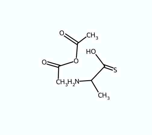 CC(=O)OC(C)=O.CC(N)C(O)=S